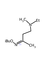 CCN(C)CC/C(C)=N\OCC(C)C